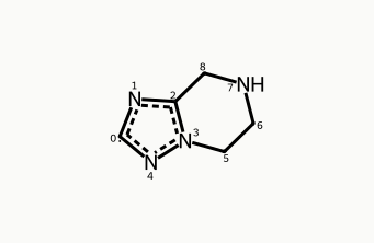 [c]1nc2n(n1)CCNC2